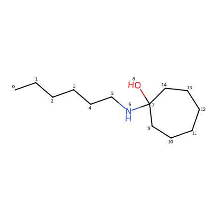 CCCCCCNC1(O)CCCCCC1